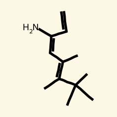 C=C/C(N)=C\C(C)=C(/C)C(C)(C)C